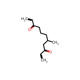 C=CC(=O)CCCC(C)CC(=O)C=C